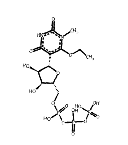 CCOc1c([C@@H]2O[C@H](COP(=O)(O)OP(=O)(O)OP(=O)(O)O)[C@@H](O)[C@H]2O)c(=O)[nH]c(=O)n1C